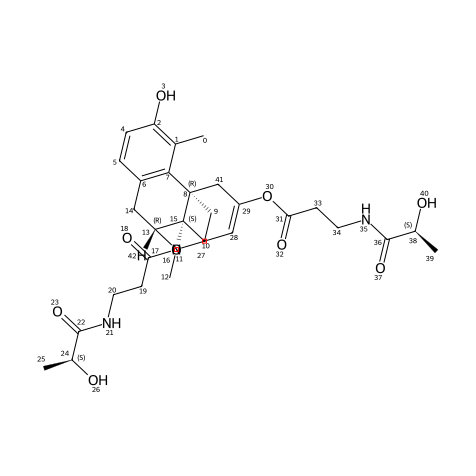 Cc1c(O)ccc2c1[C@]13CCN(C)[C@H](C2)[C@]1(OC(=O)CCNC(=O)[C@H](C)O)CC=C(OC(=O)CCNC(=O)[C@H](C)O)C3